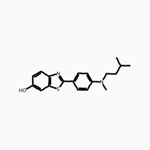 CC(C)CCN(C)c1ccc(-c2nc3ccc(O)cc3s2)cc1